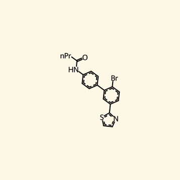 CCCC(=O)Nc1ccc(-c2cc(-c3nccs3)ccc2Br)cc1